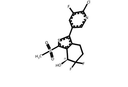 CS(=O)(=O)c1sc(-c2cnc(Cl)c(F)c2)c2c1[C@H](O)C(F)(F)CC2